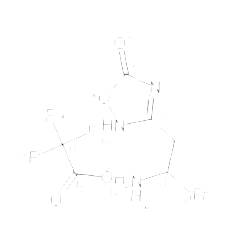 CC(C)C(N)Cc1nc(=O)o[nH]1.O=C(O)C(F)(F)F